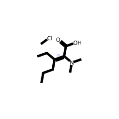 CCC/C(CC)=C(/C(=O)O)N(C)C.CCl